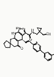 O=C1CC2(CCCC2)CC2=C1[C@H](/C=C/c1ccc(-c3cccc(F)c3)cn1)c1c(C(=O)NCC3(CO)CC3)n[nH]c1N2